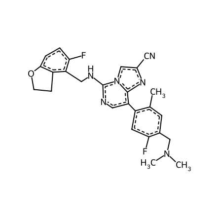 Cc1cc(CN(C)C)c(F)cc1-c1cnc(NCc2c(F)ccc3c2CCO3)n2cc(C#N)nc12